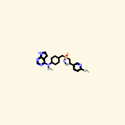 CCCN=S(=O)(CCc1ccc(C)nc1)CC1CCC(N(C)c2ncnc3[nH]ccc23)CC1